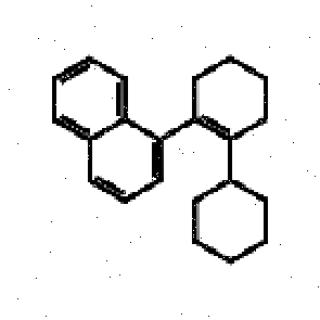 c1ccc2c(C3=C(C4CCCCC4)CCCC3)cccc2c1